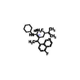 C=C(/C(CC(C)C(=C)C)=C(/CCC)NC1CCCCC1)c1ccc(F)c2ccncc12